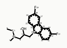 CSN(C)CC(O)Cn1c2ccc(F)cc2c2cc(F)ccc21